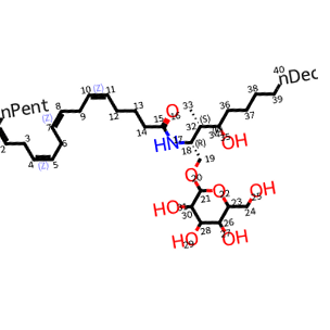 CCCCC/C=C\C/C=C\C/C=C\C/C=C\CCCC(=O)N[C@@H](COC1OC(CO)C(O)C(O)C1O)[C@H](C)[C@H](O)CCCCCCCCCCCCCC